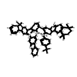 CC(C)(C)c1ccc(Nc2cc3c(cc2-c2ccc4c5cc6c(cc5n5c4c2Bc2cc4c(cc2-5)oc2ccccc24)-c2ccccc2C6(C)C)sc2cc4c(cc23)C(C)(C)CCC4(C)C)cc1